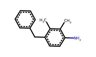 Cc1c(N)ccc(Cc2ccccc2)c1C